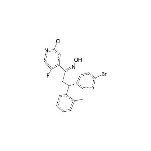 Cc1ccccc1C(CC(=NO)c1cc(Cl)ncc1F)c1ccc(Br)cc1